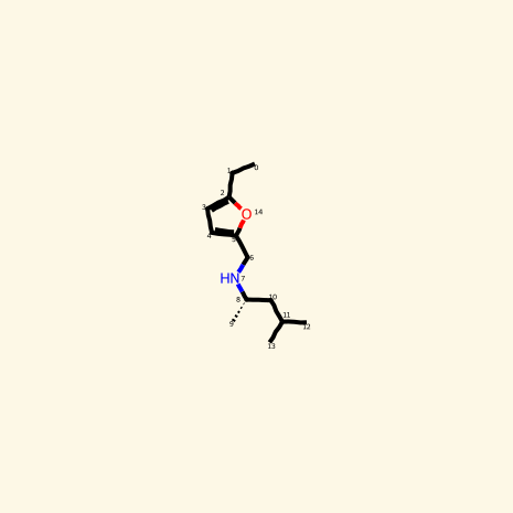 CCc1ccc(CN[C@@H](C)CC(C)C)o1